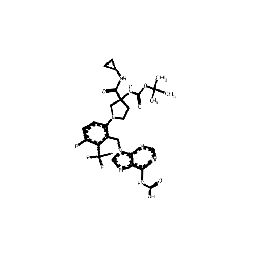 CC(C)(C)OC(=O)NC1(C(=O)NC2CC2)CCN(c2ccc(F)c(C(F)(F)F)c2Cn2cnc3c(NC(=O)O)ncnc32)C1